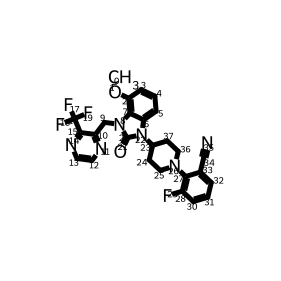 COc1cccc2c1n(Cc1nccnc1C(F)(F)F)c(=O)n2C1CCN(c2c(F)cccc2C#N)CC1